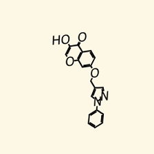 O=c1c(O)coc2cc(OCc3cnn(-c4ccccc4)c3)ccc12